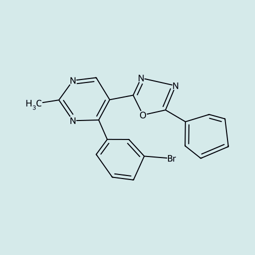 Cc1ncc(-c2nnc(-c3ccccc3)o2)c(-c2cccc(Br)c2)n1